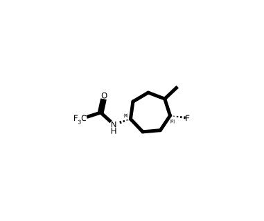 CC1CC[C@@H](NC(=O)C(F)(F)F)CC[C@H]1F